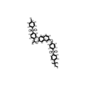 CCC(C)(C)c1ccc(S(=O)(=O)c2ccc(Oc3ccc4ccc(OC(C)c5ccc(S(=O)(=O)c6ccc(C)cc6)cc5)cc4c3)cc2)cc1